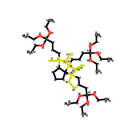 CCO[Si](CCCS(S)(SS)C1CCCC1(S(S)(CCC[Si](OCC)(OCC)OCC)SS)S(S)(CCC[Si](OCC)(OCC)OCC)SS)(OCC)OCC